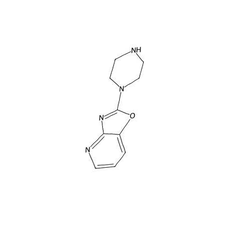 c1cnc2nc(N3CCNCC3)oc2c1